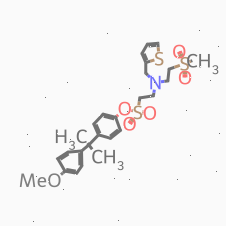 COc1ccc(C(C)(C)c2ccc(OS(=O)(=O)CCN(CCS(C)(=O)=O)Cc3cccs3)cc2)cc1